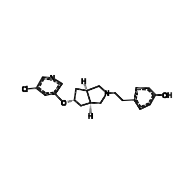 Oc1ccc(CCN2C[C@H]3C[C@H](Oc4cncc(Cl)c4)C[C@H]3C2)cc1